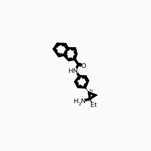 CC[C@@]1(N)C[C@H]1c1ccc(NC(=O)c2ccc3ccccc3c2)cc1